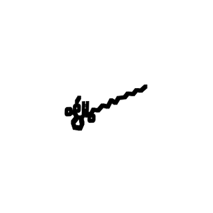 CCCCCCCCCCCCCC(=O)Nc1ccccc1C(=O)OCC